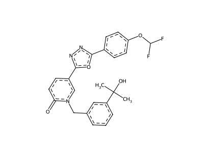 CC(C)(O)c1cccc(Cn2cc(-c3nnc(-c4ccc(OC(F)F)cc4)o3)ccc2=O)c1